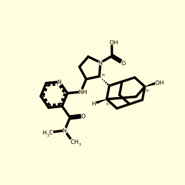 CN(C)C(=O)c1cccnc1NC1CCN(C(=O)O)[C@@H]1C1C2CC3C[C@H]1C[C@@](O)(C3)C2